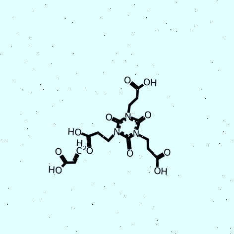 C=CC(=O)O.O=C(O)CCn1c(=O)n(CCC(=O)O)c(=O)n(CCC(=O)O)c1=O